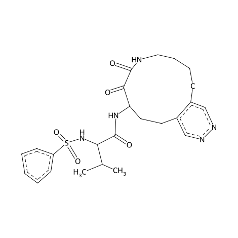 CC(C)C(NS(=O)(=O)c1ccccc1)C(=O)NC1CCc2cnncc2CCCCNC(=O)C1=O